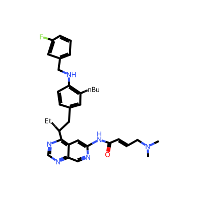 CCCCc1cc(CC(CC)c2ncnc3cnc(NC(=O)/C=C/CN(C)C)cc23)ccc1NCc1cccc(F)c1